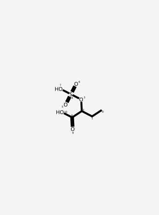 CCC(OS(=O)(=O)O)C(=O)O